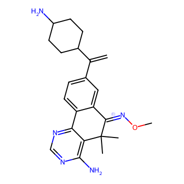 C=C(c1ccc2c(c1)/C(=N/OC)C(C)(C)c1c(N)ncnc1-2)C1CCC(N)CC1